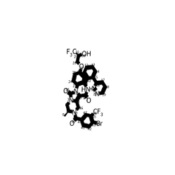 C[C@H]1Cn2c(c(C(=O)NCc3ccccc3-c3cccnn3)n(-c3ccc(OC[C@H](O)C(F)(F)F)cc3)c2=O)CN1C(=O)c1ccc(Br)c(C(F)(F)F)c1